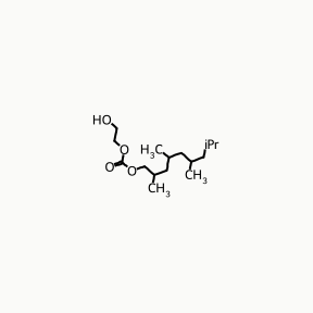 CC(C)CC(C)CC(C)CC(C)COC(=O)OCCO